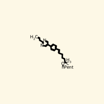 C=CCc1ncc(-c2ccc(C=CCCCC(C)OCCCCC)cc2)cn1